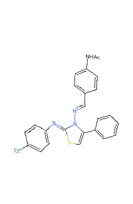 CC(=O)Nc1ccc(/C=N/n2c(-c3ccccc3)cs/c2=N\c2ccc(Cl)cc2)cc1